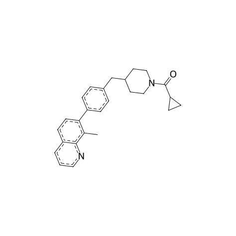 Cc1c(-c2ccc(CC3CCN(C(=O)C4CC4)CC3)cc2)ccc2cccnc12